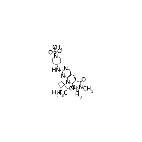 CC(C)C1(n2c(=O)c(C(=O)N(C)C)cc3cnc(NC4CCN(S(C)(=O)=O)CC4)nc32)CC[C@H]1C